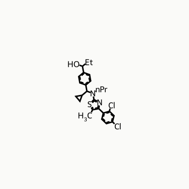 CCCN(c1nc(-c2ccc(Cl)cc2Cl)c(C)s1)C(c1ccc(C(O)CC)cc1)C1CC1